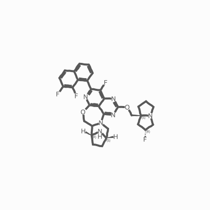 Fc1ccc2cccc(-c3nc4c5c(nc(OC[C@@]67CCCN6C[C@H](F)C7)nc5c3F)N3C[C@@H]5CC[C@@H](N5)C3CO4)c2c1F